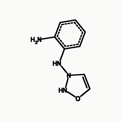 Nc1ccccc1NN1C=CON1